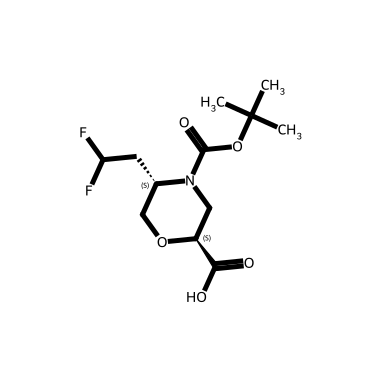 CC(C)(C)OC(=O)N1C[C@@H](C(=O)O)OC[C@@H]1CC(F)F